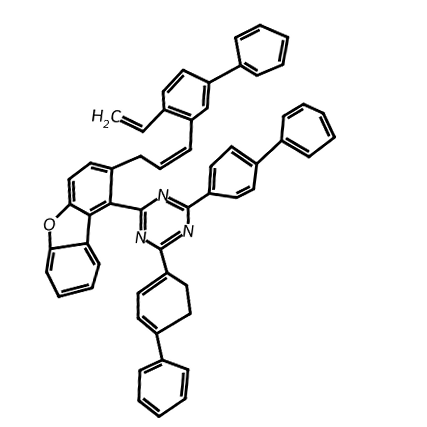 C=Cc1ccc(-c2ccccc2)cc1/C=C\Cc1ccc2oc3ccccc3c2c1-c1nc(C2=CC=C(c3ccccc3)CC2)nc(-c2ccc(-c3ccccc3)cc2)n1